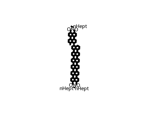 CCCCCCCC(C)N1C(=O)c2ccc3c4ccc(C)c5c(-c6ccc7c8ccc9c%10ccc%11c%12ccc%13c%14ccc%15c%16ccc%17c%18c(ccc(c%19ccc(c%20ccc(c%21ccc(c%22ccc(c%23cccc6c%237)c8c%229)c%10c%21%11)c%12c%20%13)c%14c%19%15)c%18%16)C(=O)N(C(CCCCCCC)CCCCCCC)C%17=O)ccc(c6ccc(c2c36)C1=O)c54